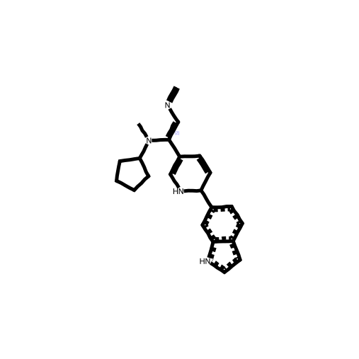 C=N/C=C(/C1=CNC(c2ccc3cc[nH]c3c2)C=C1)N(C)C1CCCC1